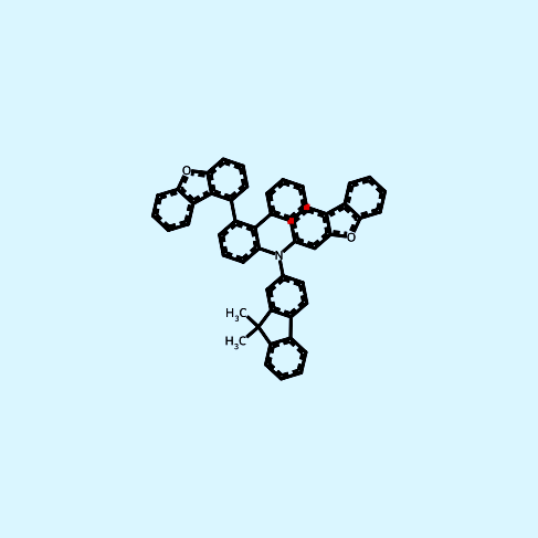 CC1(C)c2ccccc2-c2ccc(N(c3ccc4c(c3)oc3ccccc34)c3cccc(-c4cccc5oc6ccccc6c45)c3-c3ccccc3)cc21